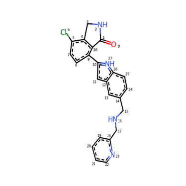 O=C1NCc2c(Cl)ccc(-c3cc4cc(CNCc5ccccn5)ccc4[nH]3)c21